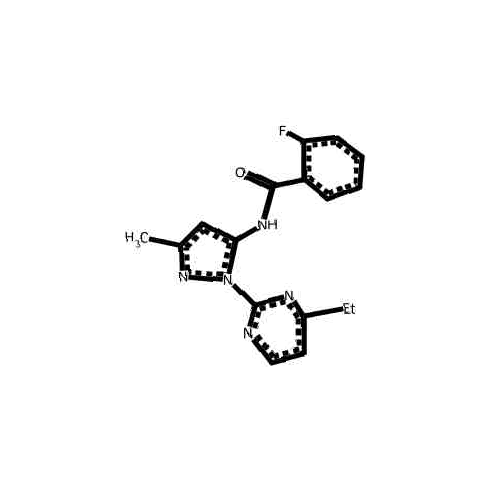 CCc1ccnc(-n2nc(C)cc2NC(=O)c2ccccc2F)n1